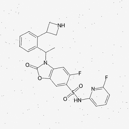 CC(c1ccccc1C1CNC1)n1c(=O)oc2cc(S(=O)(=O)Nc3cccc(F)n3)c(F)cc21